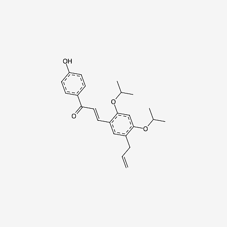 C=CCc1cc(/C=C/C(=O)c2ccc(O)cc2)c(OC(C)C)cc1OC(C)C